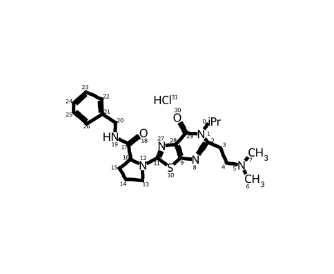 CC(C)n1c(CCN(C)C)nc2sc(N3CCCC3C(=O)NCc3ccccc3)nc2c1=O.Cl